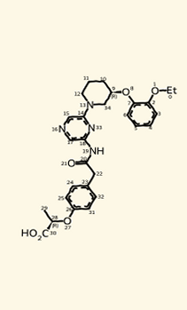 CCOc1ccccc1O[C@@H]1CCCN(c2cncc(NC(=O)Cc3ccc(O[C@H](C)C(=O)O)cc3)n2)C1